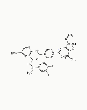 C=Nc1[nH]nc(NC)c1/C=C(\C)c1ccc(CNc2ncc(C#N)nc2C(=O)N[C@@H](C)c2ccc(F)c(F)c2)cc1